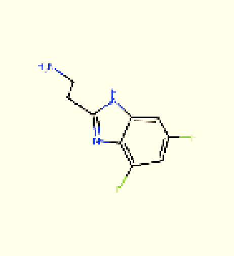 NCCc1nc2c(F)cc(F)cc2[nH]1